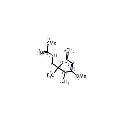 C=C/C=C(/OC)N(C)C(C)(CNC(=N)SC)C(F)(F)F